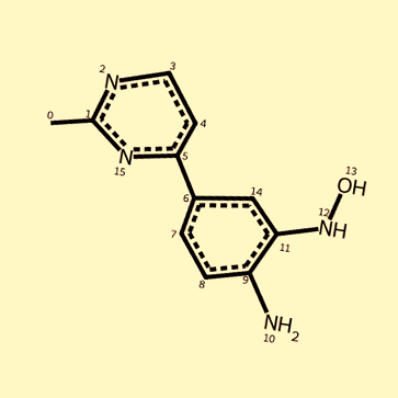 Cc1nccc(-c2ccc(N)c(NO)c2)n1